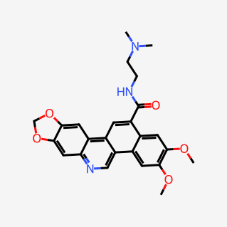 COc1cc2c(C(=O)NCCN(C)C)cc3c4cc5c(cc4ncc3c2cc1OC)OCO5